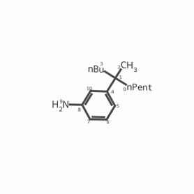 CCCCCC(C)(CCCC)c1cccc(N)c1